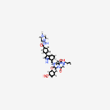 C=CCN1CC(=O)N2[C@@H](Cc3ccc(O)cc3)C(=O)N(Cc3cccc4c(-c5ccc(C(=O)NN6CCN(C)CC6)cc5)c[nH]c34)C[C@@H]2N1O